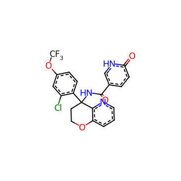 O=C(NC1(c2ccc(OC(F)(F)F)cc2Cl)CCOc2cccnc21)c1ccc(=O)[nH]c1